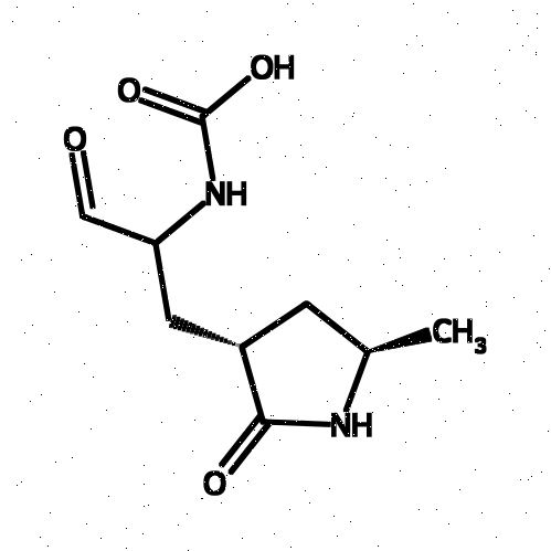 C[C@@H]1C[C@@H](CC(C=O)NC(=O)O)C(=O)N1